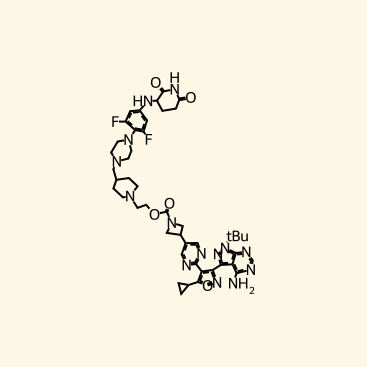 CC(C)(C)n1nc(-c2noc(C3CC3)c2-c2ncc(C3CN(C(=O)OCCN4CCC(CN5CCN(c6c(F)cc(NC7CCC(=O)NC7=O)cc6F)CC5)CC4)C3)cn2)c2c(N)ncnc21